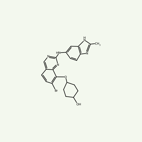 Cc1nc2ccc(Nc3ncc4ccc(Br)c(OC5CCC(O)CC5)c4n3)cc2[nH]1